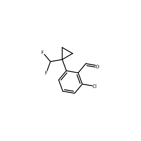 O=Cc1c(Cl)cccc1C1(C(F)F)CC1